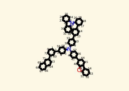 c1cc(-c2ccc(N(c3ccc(-c4ccc(-c5ccccc5-n5c6ccccc6c6ccccc65)cc4)cc3)c3ccc(-c4ccc5c(c4)oc4ccccc45)cc3)cc2)cc(-c2ccc3ccccc3c2)c1